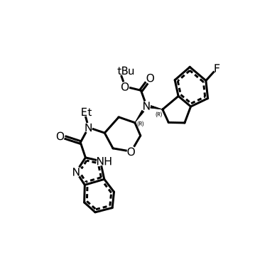 CCN(C(=O)c1nc2ccccc2[nH]1)C1COC[C@H](N(C(=O)OC(C)(C)C)[C@@H]2CCc3cc(F)ccc32)C1